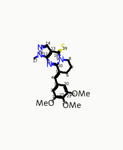 COc1cc(C=C2CCCn3c2nc2c(cnn2C)c3=S)cc(OC)c1OC